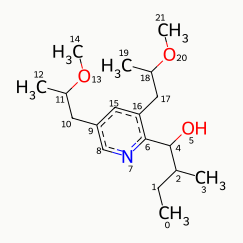 CCC(C)C(O)c1ncc(CC(C)OC)cc1CC(C)OC